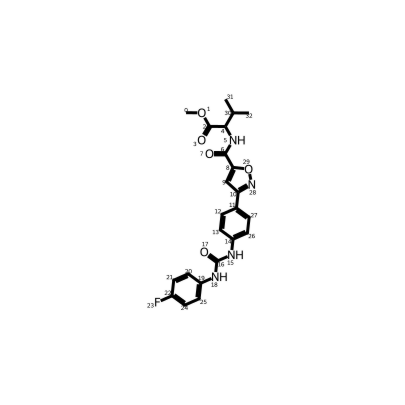 COC(=O)C(NC(=O)c1cc(-c2ccc(NC(=O)Nc3ccc(F)cc3)cc2)no1)C(C)C